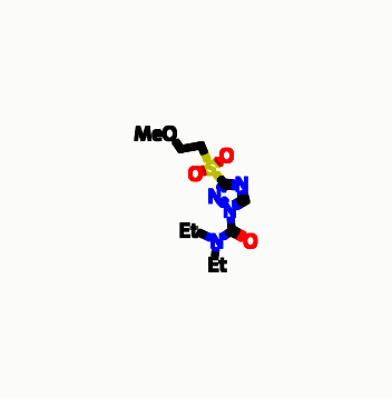 CCN(CC)C(=O)n1cnc(S(=O)(=O)CCOC)n1